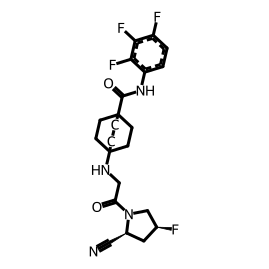 N#C[C@@H]1C[C@H](F)CN1C(=O)CNC12CCC(C(=O)Nc3ccc(F)c(F)c3F)(CC1)CC2